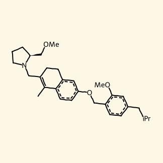 COC[C@@H]1CCCN1CC1=C(C)c2ccc(OCc3ccc(CC(C)C)cc3OC)cc2CC1